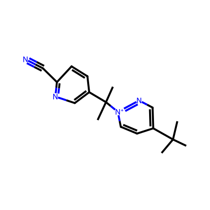 CC(C)(C)c1cc[n+](C(C)(C)c2ccc(C#N)nc2)nc1